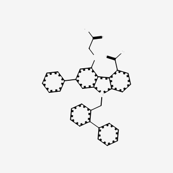 NC(=O)c1cccc2c1c1c(OCC(=O)O)cc(-c3ccccc3)cc1n2Cc1ccccc1-c1ccccc1